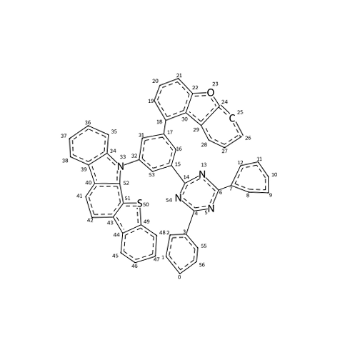 c1ccc(-c2nc(-c3ccccc3)nc(-c3cc(-c4cccc5oc6ccccc6c45)cc(-n4c5ccccc5c5ccc6c7ccccc7sc6c54)c3)n2)cc1